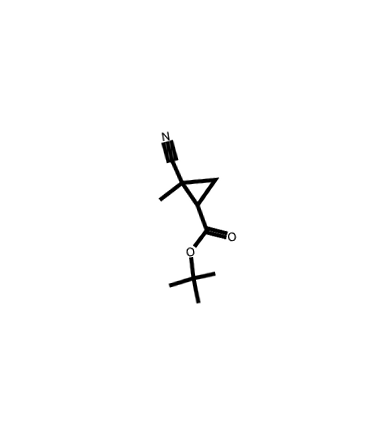 CC(C)(C)OC(=O)C1CC1(C)C#N